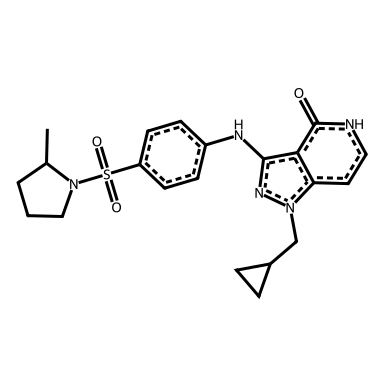 CC1CCCN1S(=O)(=O)c1ccc(Nc2nn(CC3CC3)c3cc[nH]c(=O)c23)cc1